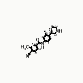 Cc1nc(C(=O)Nc2ccc(C3CNCCO3)c(F)c2)ccc1C#N